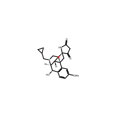 COc1ccc2c(c1)[C@]13CCN(CC4CC4)[C@H]([C@@H]2O)[C@@H]1CC[C@@]1(C3)NC(=O)CC1=O